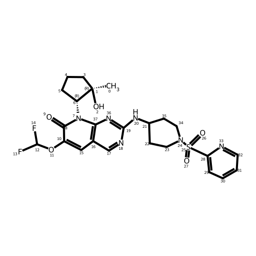 C[C@@]1(O)CCC[C@H]1n1c(=O)c(OC(F)F)cc2cnc(NC3CCN(S(=O)(=O)c4ccccn4)CC3)nc21